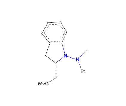 CCN(C)N1c2ccccc2C[C@H]1COC